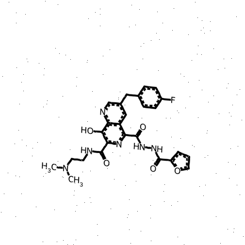 CN(C)CCNC(=O)c1nc(C(=O)NNC(=O)c2ccco2)c2cc(Cc3ccc(F)cc3)cnc2c1O